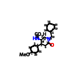 COc1ccc(C2CC(=O)N(Cc3ccccc3)CC2NC(=O)O)cc1